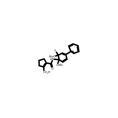 COC1(F)C=C(c2ccccc2)C=CC1(NC(=O)C1=C(C(=O)O)CCC1)OC